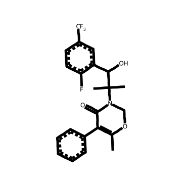 CC1=C(c2ccccc2)C(=O)N(C(C)(C)C(O)c2cc(C(F)(F)F)ccc2F)CO1